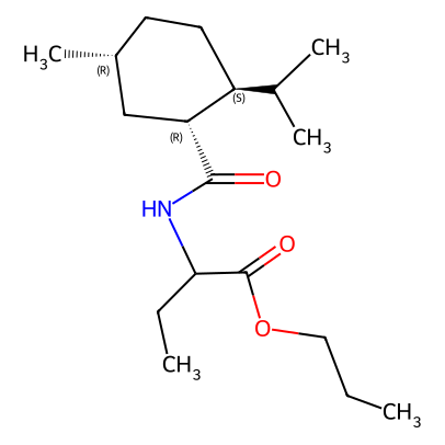 CCCOC(=O)C(CC)NC(=O)[C@@H]1C[C@H](C)CC[C@H]1C(C)C